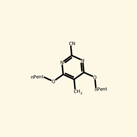 CCCCCOc1nc(C#N)nc(OCCCCC)c1C